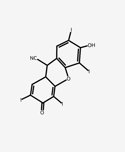 N#CC1c2cc(I)c(O)c(I)c2OC2=C(I)C(=O)C(I)=CC21